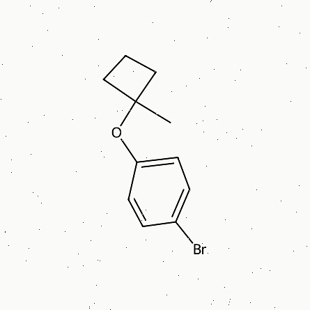 CC1(Oc2ccc(Br)cc2)CCC1